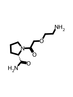 NCCOCC(=O)N1CCC[C@H]1C(N)=O